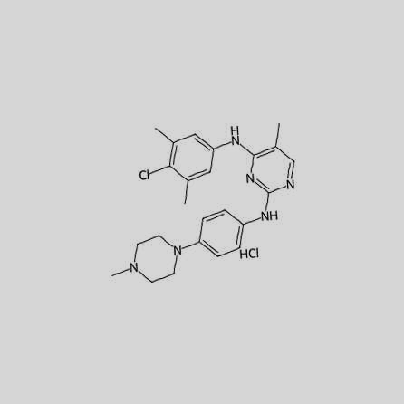 Cc1cnc(Nc2ccc(N3CCN(C)CC3)cc2)nc1Nc1cc(C)c(Cl)c(C)c1.Cl